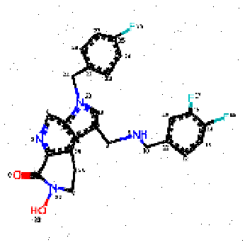 O=C1c2ncc3c(c(CNCc4ccc(F)c(F)c4)cn3Cc3ccc(F)cc3)c2CCN1O